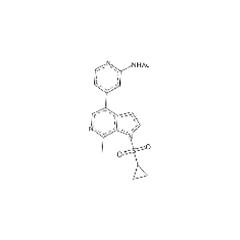 CC(=O)Nc1cc(-c2cnc(C)c3c2ccn3S(=O)(=O)C2CC2)ccn1